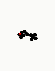 c1ccc(N(c2ccc(-c3ccc4c(c3)c3c5ccccc5n(-c5ccccc5)c3n4-c3ccccc3)cc2)c2ccc3c(c2)C(c2ccccc2)(c2ccccc2)c2ccccc2-3)cc1